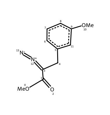 COC(=O)C(Cc1cccc(OC)c1)=[N+]=[N-]